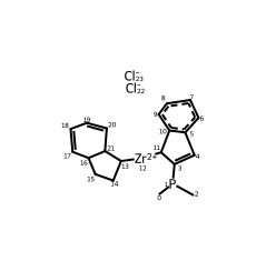 CP(C)C1=Cc2ccccc2[CH]1[Zr+2][CH]1CCC2C=CC=CC21.[Cl-].[Cl-]